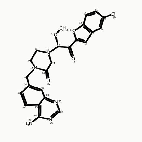 CO[C@@H](C(=O)c1cc2cc(Cl)ccc2s1)N1CCN(Cc2ccc3c(N)ncnc3c2)C(=O)C1